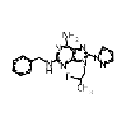 CC(F)Cn1c(-n2cccn2)nc2c(N)nc(NCc3ccccc3)nc21